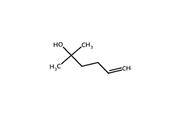 [CH]=CCCC(C)(C)O